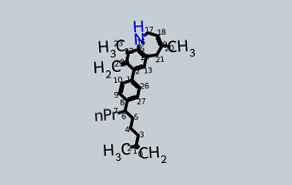 C=C(C)CCCC(CCC)c1ccc(C2=CC3=C(NCC=C(C)C3)C(C)C2=C)cc1